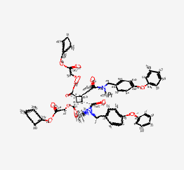 CCCN(Cc1ccc(Oc2ccccc2)cc1)C(=O)[C@@H]1[C@H](C(=O)OCC(=O)OC2CCC2)[C@@H](C(=O)OCC(=O)OC2CCC2)[C@H]1C(=O)N(CCC)Cc1ccc(Oc2ccccc2)cc1